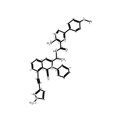 CC(C)Oc1ccc(-c2cnc(N)c(C(=O)NC(C)c3cc4cccc(C#Cc5ccn(C)n5)c4c(=O)n3-c3ccccc3)n2)cc1